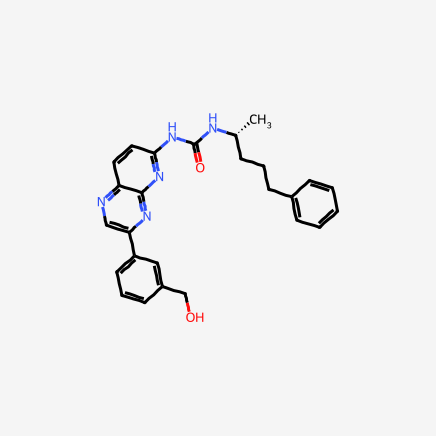 C[C@H](CCCc1ccccc1)NC(=O)Nc1ccc2ncc(-c3cccc(CO)c3)nc2n1